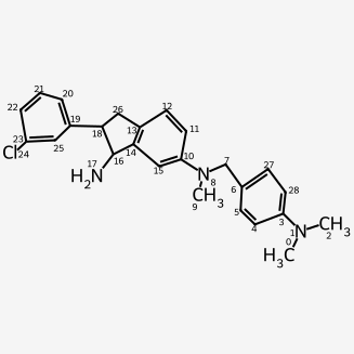 CN(C)c1ccc(CN(C)c2ccc3c(c2)C(N)C(c2cccc(Cl)c2)C3)cc1